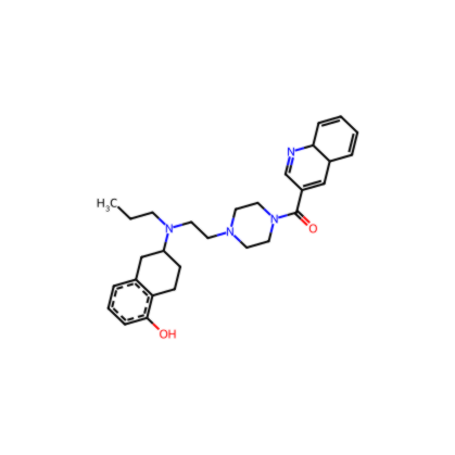 CCCN(CCN1CCN(C(=O)C2=CC3C=CC=CC3N=C2)CC1)C1CCc2c(O)cccc2C1